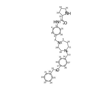 O=C(Nc1ccc(CN2CCCN(Cc3ccc(OCc4ccccc4)cc3)CC2)cc1)C1CCCN1